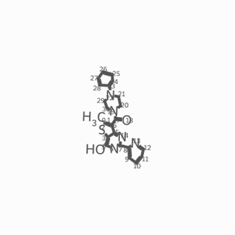 Cc1sc2c(O)nc(-c3ccccn3)nc2c1C(=O)N1CCN(c2ccccc2)CC1